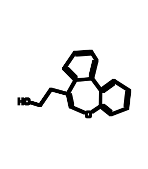 OCCC1=COc2ccccc2-c2ccccc21